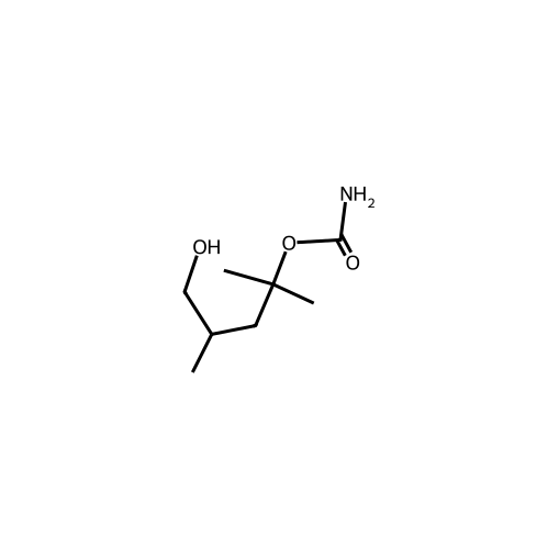 CC(CO)CC(C)(C)OC(N)=O